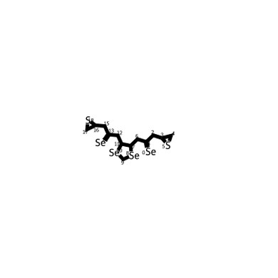 [Se]=C(CC1CS1)CC1[Se]C[Se]C1CC(=[Se])CC1CS1